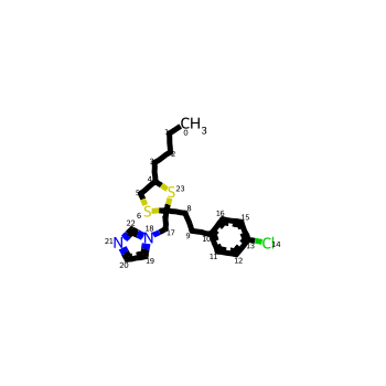 CCCCC1CSC(CCc2ccc(Cl)cc2)(Cn2ccnc2)S1